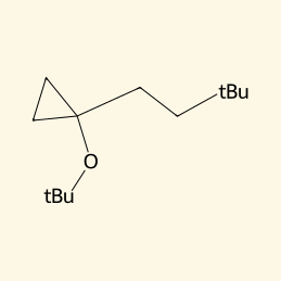 CC(C)(C)CCC1(OC(C)(C)C)CC1